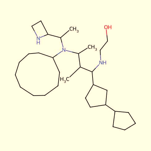 CC(C(NCCO)C1CCC(C2CCCC2)C1)C(C)N(C1CCCCCCCCC1)C(C)C1CCN1